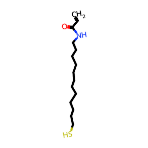 C=CC(=O)NCCCCCCCCCCCCS